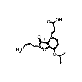 C=c1/c(=C\C=C/C)oc2c(OC(F)F)ccc(/C=C/C(=O)O)c12